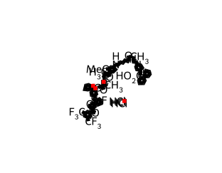 COc1cc(NCCCCCC(=O)N(C)CCN2CCC(N(C(=O)O)c3ccccc3-c3ccccc3)CC2)ccc1C(=O)N(C)CCCN(C)C(=O)CO[C@H]1Cc2ccccc2C12CCN(CC[C@]1(c3ccc(F)cc3)CN(C(=O)c3cc(C(F)(F)F)cc(C(F)(F)F)c3)CO1)CC2.Cl.Cl.Cl